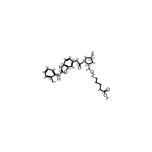 COC(=O)CCCCCOC[C@@H]1C[C@H](F)CN1C(=O)Cc1ccc2nc(Nc3ccccc3C)oc2c1